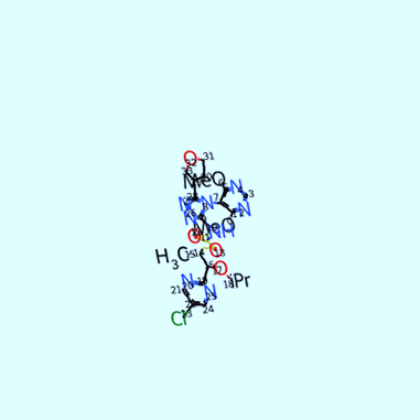 COc1ncnc(OC)c1-n1c(NS(=O)(=O)[C@@H](C)[C@@H](OC(C)C)c2ncc(Cl)cn2)nnc1C1CCOC1